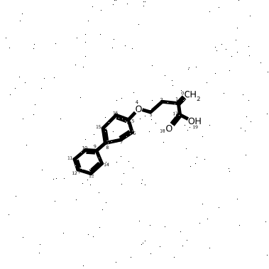 C=C(CCOc1ccc(-c2ccccc2)cc1)C(=O)O